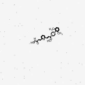 Cc1cccc(C)c1N1CCN(C(=O)C=Cc2cccc(C=CC(=O)NO)n2)CC1.Cl